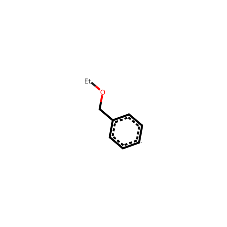 [CH2]COCc1cc[c]cc1